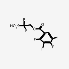 O=C(OCC(F)(F)S(=O)(=O)O)c1cc(F)c(F)c(F)c1F